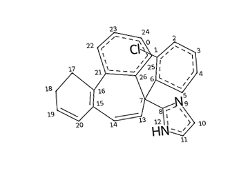 Clc1ccccc1C1(c2ncc[nH]2)C=CC2=C(CCC=C2)c2ccccc21